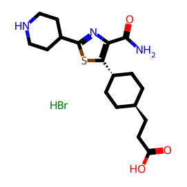 Br.NC(=O)c1nc(C2CCNCC2)sc1[C@H]1CC[C@H](CCC(=O)O)CC1